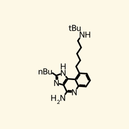 CCCCc1nc2c(N)nc3cccc(CCCCCNC(C)(C)C)c3c2[nH]1